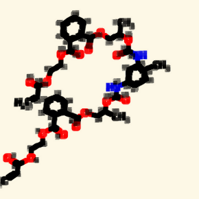 C=CC(=O)OCCOC(=O)c1ccccc1C(=O)OCC(C)OC(=O)Nc1ccc(C)c(NC(=O)OC(C)COC(=O)c2ccccc2C(=O)OCCOC(=O)C=C)c1